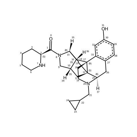 O=C([C@@H]1CCCCN1)N1C[C@H]2C[C@@]34CC[C@@H]1[C@@H]2[C@@]31CCN(CC2CC2)[C@@H]4Cc2ccc(O)cc21